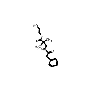 CC(C)(CNC(=O)Cc1ccccc1)C(=O)SCCO